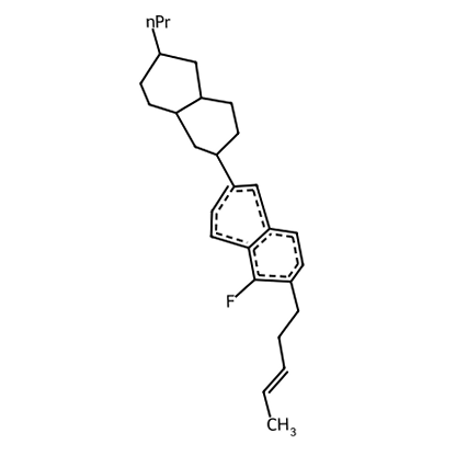 CC=CCCc1ccc2cc(C3CCC4CC(CCC)CCC4C3)ccc2c1F